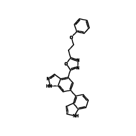 c1ccc(OCCc2nnc(-c3cc(-c4cccc5[nH]ccc45)cc4[nH]ncc34)o2)cc1